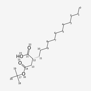 CCCCCCCCCCCC[C@H](CC(=O)OC(C)(C)C)C(=O)O